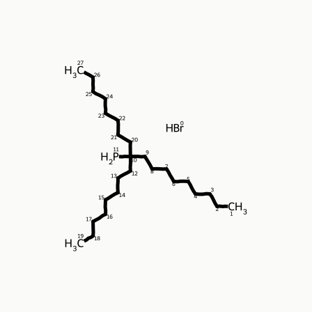 Br.CCCCCCCCCC(P)(CCCCCCCC)CCCCCCCC